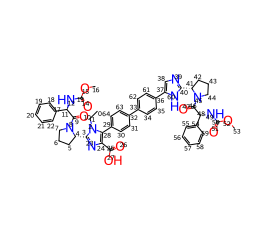 CCn1c([C@@H]2CCCN2C(=O)[C@H](NC(=O)OC)c2ccccc2)nc(C(=O)O)c1-c1ccc(-c2ccc(-c3cnc([C@@H]4CCCN4C(=O)[C@H](NC(=O)OC)c4ccccc4)[nH]3)cc2)cc1